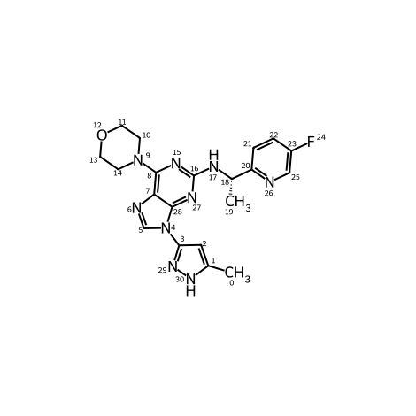 Cc1cc(-n2cnc3c(N4CCOCC4)nc(N[C@@H](C)c4ccc(F)cn4)nc32)n[nH]1